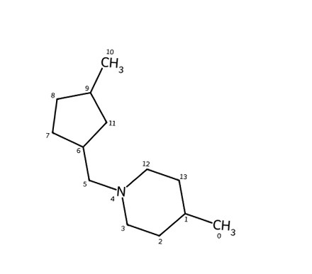 CC1CCN(CC2CCC(C)C2)CC1